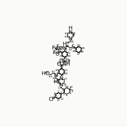 CC1(C)CCC(c2ccc(Cl)cc2)=C(CN2CCN3c4ccc(C(=O)NS(=O)(=O)c5ccc(N[C@H](CCN6CCNCC6)CSc6ccccc6)c(S(=O)(=O)C(F)(F)F)c5)cc4N(CCO)C[C@@H]3C2)C1